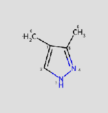 [CH2]c1c[nH]nc1C